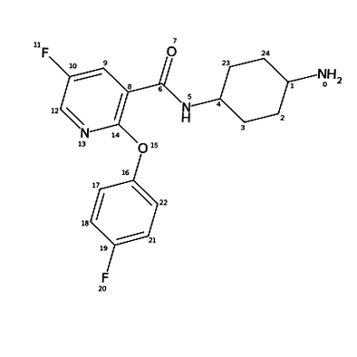 NC1CCC(NC(=O)c2cc(F)cnc2Oc2ccc(F)cc2)CC1